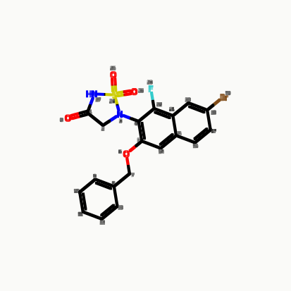 O=C1CN(c2c(OCc3ccccc3)cc3ccc(Br)cc3c2F)S(=O)(=O)N1